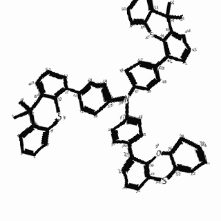 CC1(C)c2ccccc2Sc2c(-c3ccc(N(c4ccc(-c5cccc6c5Oc5ccccc5S6)cc4)c4ccc(-c5cccc6c5Sc5ccccc5C6(C)C)cc4)cc3)cccc21